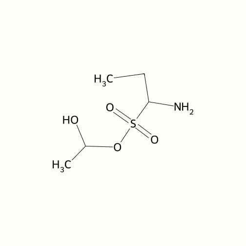 CCC(N)S(=O)(=O)OC(C)O